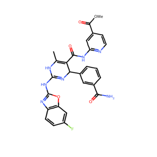 COC(=O)c1ccnc(NC(=O)C2=C(C)NC(Nc3nc4ccc(F)cc4o3)=NC2c2cccc(C(N)=O)c2)c1